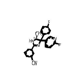 C[C@@H]1NC(c2cccc(C#N)c2)=NC1(c1ccc(F)cc1)c1ccc(F)nc1